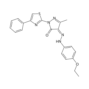 CCOc1ccc(NN=C2C(=O)N(c3nc(-c4ccccc4)cs3)N=C2C)cc1